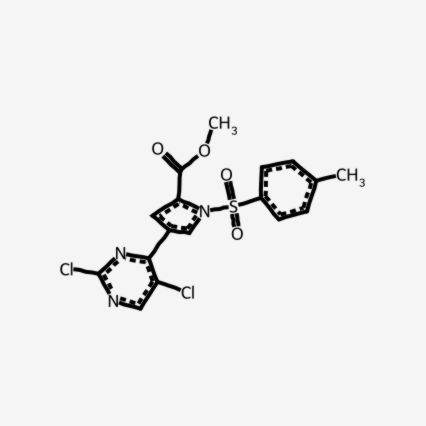 COC(=O)c1cc(-c2nc(Cl)ncc2Cl)cn1S(=O)(=O)c1ccc(C)cc1